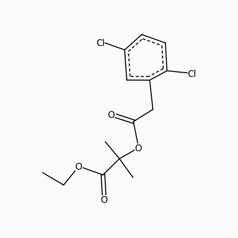 CCOC(=O)C(C)(C)OC(=O)Cc1cc(Cl)ccc1Cl